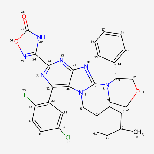 CC1CCC(Cn2c(N3CCOC[C@H]3c3ccccc3)nc3nc(-c4noc(=O)[nH]4)nc(-c4cc(Cl)ccc4F)c32)CC1